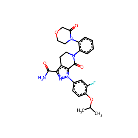 CC(C)Oc1ccc(-n2nc(C(N)=O)c3c2C(=O)N(c2ccccc2N2CCOCC2=O)CC3)cc1F